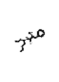 CCCCC(CCC)OC(=O)C(=Cc1ccccc1)OC